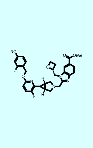 COC(=O)c1ccc2nc(CN3C[C@@H]4C(c5nc(OCc6ccc(C#N)cc6F)ccc5F)[C@@H]4C3)n(C[C@@H]3CCO3)c2c1